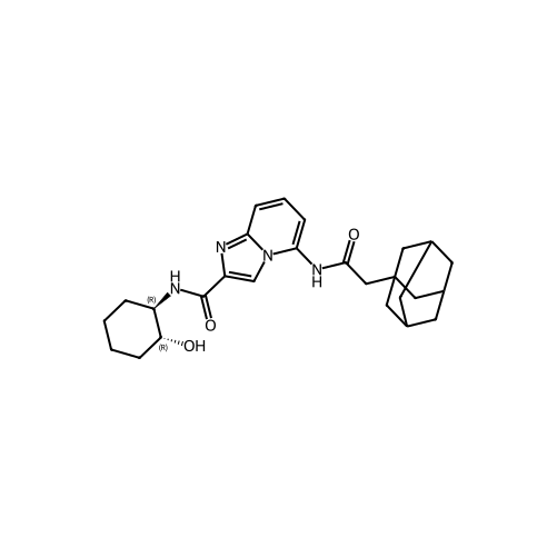 O=C(CC12CC3CC(CC(C3)C1)C2)Nc1cccc2nc(C(=O)N[C@@H]3CCCC[C@H]3O)cn12